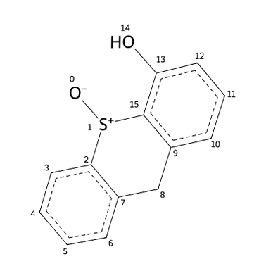 [O-][S+]1c2ccccc2Cc2cccc(O)c21